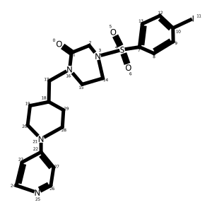 O=C1CN(S(=O)(=O)c2ccc(I)cc2)CCN1CC1CCN(c2ccncc2)CC1